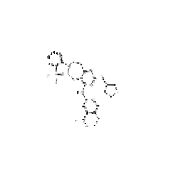 CN1CCCc2ccc(Nc3nc(OC4CCCC4)nc4c3CCN(c3ncccc3C(F)(F)F)CC4)cc21